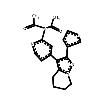 CC(=O)N(C(C)=O)c1cc(-c2c(-c3ccsc3)nn3c2CCCC3)ccn1